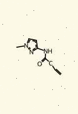 C=CCC(=O)Nc1ccn(C)n1